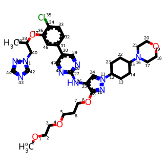 COCCOCCCOc1nn(C2CCC(N3CCOCC3)CC2)cc1Nc1ncc(-c2ccc(Cl)c(OC(C)Cn3cncn3)c2)cn1